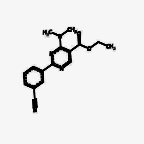 CCOC(=O)c1cnc(-c2cccc(C#N)c2)nc1N(C)C